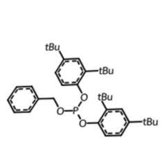 CC(C)(C)c1ccc(OP(OCc2ccccc2)Oc2ccc(C(C)(C)C)cc2C(C)(C)C)c(C(C)(C)C)c1